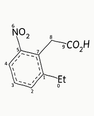 CCc1cccc([N+](=O)[O-])c1CC(=O)O